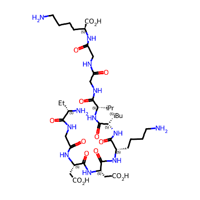 CC[C@H](N)C(=O)NCC(=O)N[C@@H](CC(=O)O)C(=O)N[C@@H](CC(=O)O)C(=O)N[C@@H](CCCCN)C(=O)N[C@H](C(=O)N[C@H](C(=O)NCC(=O)NCC(=O)N[C@@H](CCCCN)C(=O)O)C(C)C)[C@@H](C)CC